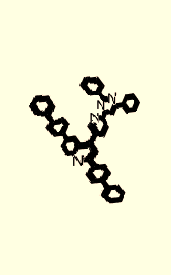 c1ccc(-c2ccc(-c3ccc4nc(-c5ccc(-c6ccccc6)cc5)cc(-c5ccc(-c6cc(-c7ccccc7)nc(-c7ccccc7)n6)nc5)c4c3)cc2)cc1